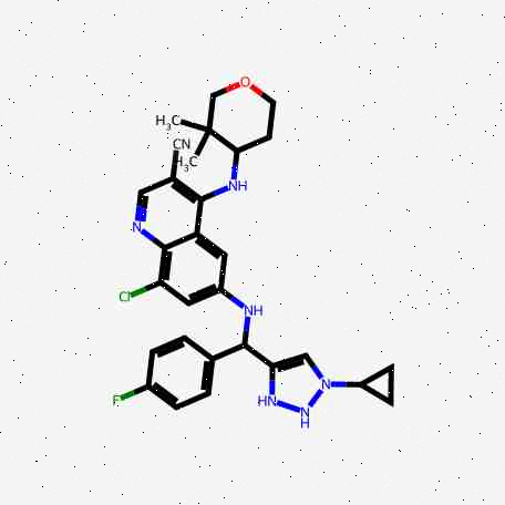 CC1(C)COCCC1Nc1c(C#N)cnc2c(Cl)cc(NC(C3=CN(C4CC4)NN3)c3ccc(F)cc3)cc12